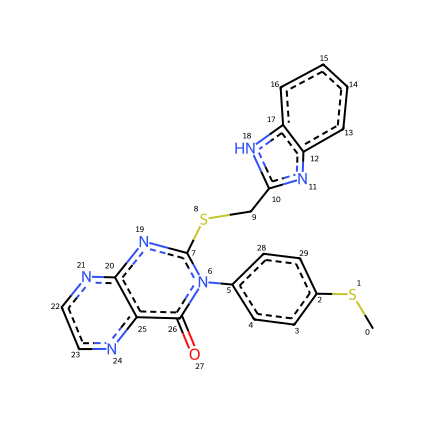 CSc1ccc(-n2c(SCc3nc4ccccc4[nH]3)nc3nccnc3c2=O)cc1